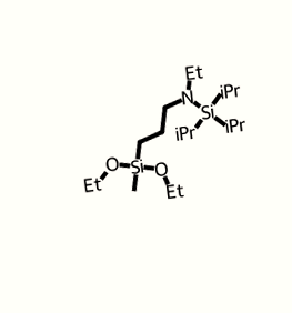 CCO[Si](C)(CCCN(CC)[Si](C(C)C)(C(C)C)C(C)C)OCC